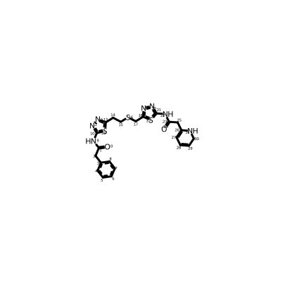 O=C(Cc1ccccc1)Nc1nnc(CCSCc2nnc(NC(=O)CC3=CC=CCN3)s2)s1